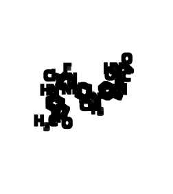 C[C@@H]1CN(c2nc(F)c(Cl)c(Nc3ccc4c(c3)CC(=O)N4C)n2)CC[C@H]1Nc1ccc2c(cnn2C2CCC(=O)NC2=O)c1